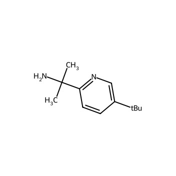 CC(C)(C)c1ccc(C(C)(C)N)nc1